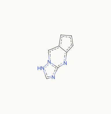 c1cc2cn3[nH]cnc3nc-2c1